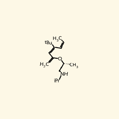 C=C(/C=C(\C=C/C)C(C)(C)C)O[C@H](C)CNC(C)C